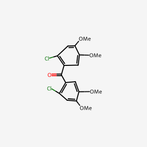 COc1cc(Cl)c(C(=O)c2cc(OC)c(OC)cc2Cl)cc1OC